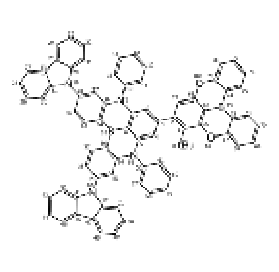 CC(C)(C)c1c(-c2cc3c4c(c2)N(c2ccccc2)c2cc(-n5c6ccccc6c6ccccc65)ccc2B4c2ccc(-n4c5ccccc5c5ccccc54)cc2N3c2ccccc2)cc2c3c1Oc1ccccc1B3c1ccccc1O2